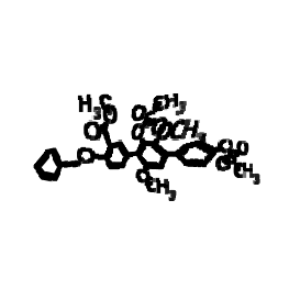 COC(=O)c1cc(-c2c(OC)cc(-c3ccc(OS(C)(=O)=O)cc3)c(OC)c2OS(C)(=O)=O)ccc1OCc1ccccc1